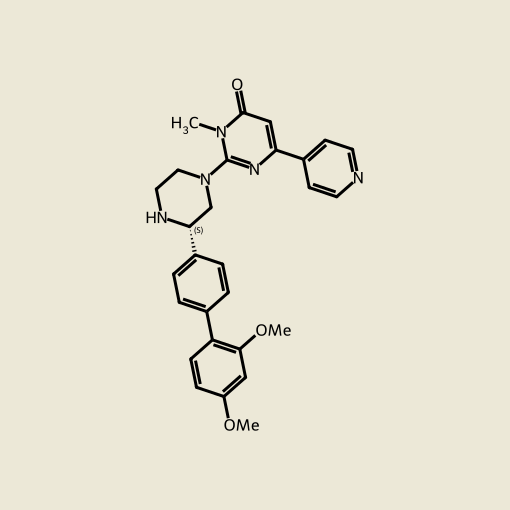 COc1ccc(-c2ccc([C@H]3CN(c4nc(-c5ccncc5)cc(=O)n4C)CCN3)cc2)c(OC)c1